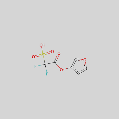 O=C(Oc1ccoc1)C(F)(F)S(=O)(=O)O